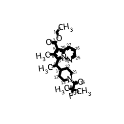 CCOC(=O)c1c(C)c(C(C)C2CCN(C(=O)C(C)(C)F)CC2)n2ncccc12